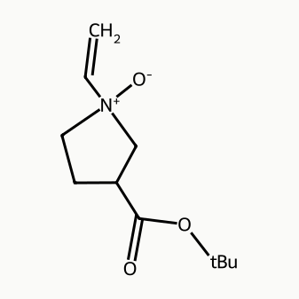 C=C[N+]1([O-])CCC(C(=O)OC(C)(C)C)C1